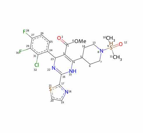 COC(=O)C1=C(C2CCN([SH](C)(C)=O)CC2)NC(c2nccs2)=NC1c1ccc(F)c(F)c1Cl